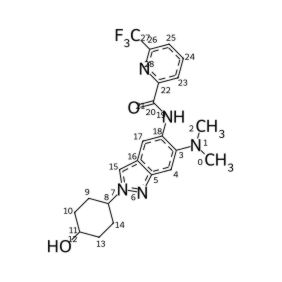 CN(C)c1cc2nn(C3CCC(O)CC3)cc2cc1NC(=O)c1cccc(C(F)(F)F)n1